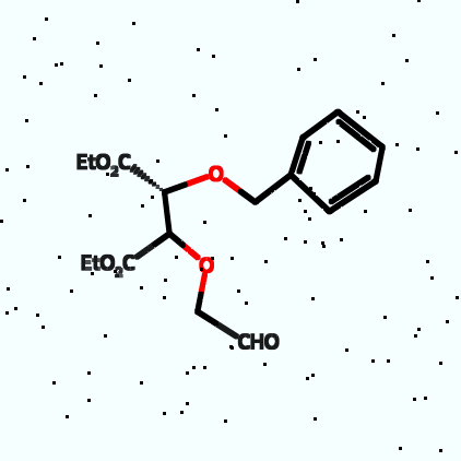 CCOC(=O)C(OCC=O)[C@@H](OCc1ccccc1)C(=O)OCC